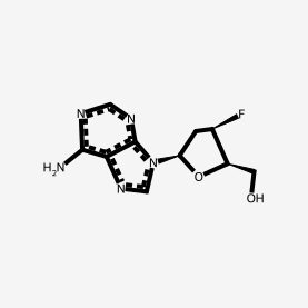 Nc1ncnc2c1ncn2[C@H]1C[C@@H](F)[C@@H](CO)O1